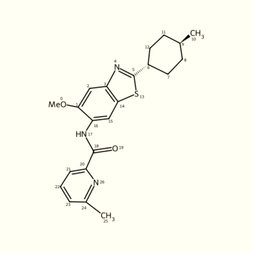 COc1cc2nc([C@H]3CC[C@H](C)CC3)sc2cc1NC(=O)c1cccc(C)n1